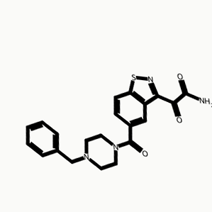 NC(=O)C(=O)c1nsc2ccc(C(=O)N3CCN(Cc4ccccc4)CC3)cc12